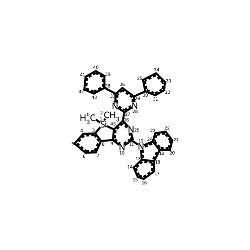 C[Si]1(C)c2ccccc2-c2nc(-n3c4ccccc4c4ccccc43)nc(-c3nc(-c4ccccc4)cc(-c4ccccc4)n3)c21